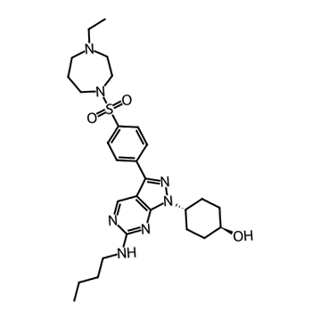 CCCCNc1ncc2c(-c3ccc(S(=O)(=O)N4CCCN(CC)CC4)cc3)nn([C@H]3CC[C@H](O)CC3)c2n1